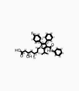 CC(C)c1c(C(=O)Nc2ccccc2)c(-c2ccccc2)c(-c2ccc(F)cc2)n1CC[C@@H](C)C[C@@H](O)CC(=O)O